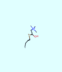 CCCSC(O)C[N+](C)(C)C